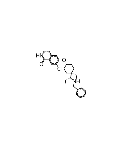 CC[C@@H](NCc1ccccc1)[C@]1(CC)CC[C@@H](Oc2cc3cc[nH]c(=O)c3cc2Cl)CC1